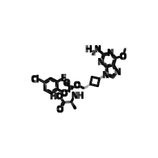 COc1nc(N)nc2c1ncn2[C@H]1C[C@@H](COP(=O)(N[C@@H](C)C(=O)O)Oc2ccc(Cl)cc2F)C1